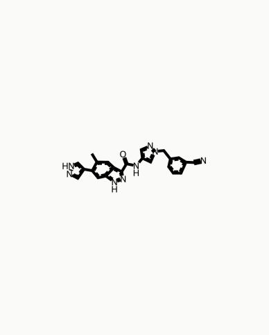 Cc1cc2c(C(=O)Nc3cnn(Cc4cccc(C#N)c4)c3)n[nH]c2cc1-c1cn[nH]c1